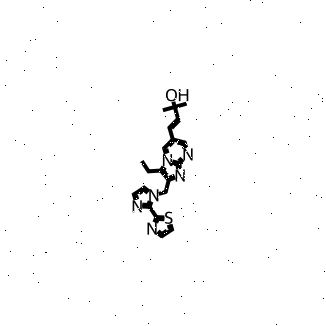 CCc1c(Cn2ccnc2-c2nccs2)nc2ncc(C=CC(C)(C)O)cn12